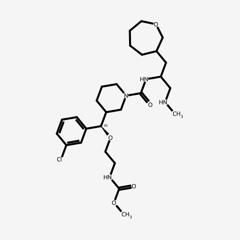 CNCC(CC1CCCCOC1)NC(=O)N1CCCC([C@@H](OCCNC(=O)OC)c2cccc(Cl)c2)C1